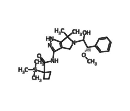 CO[C@@H](c1ccccc1)C(O)N1Cc2c(NC(=O)C3([Si](C)(C)C)CCC3)n[nH]c2C1(C)C